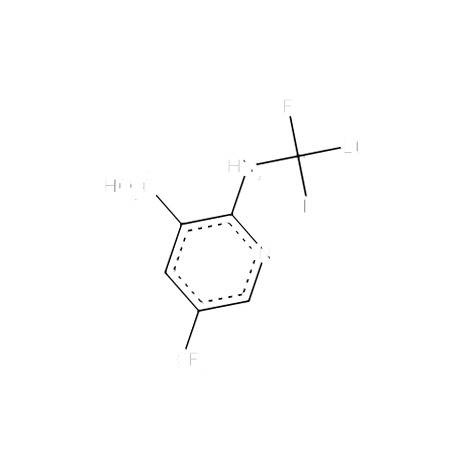 CCC(F)(F)Nc1ncc(C(F)(F)F)cc1C(=O)O